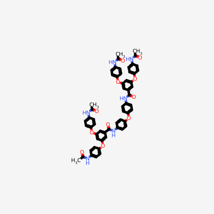 CC(=O)Nc1ccc(Oc2cc(Oc3ccc(NC(C)=O)cc3)cc(C(=O)Nc3ccc(Oc4ccc(NC(=O)c5cc(Oc6ccc(NC(C)=O)cc6)cc(Oc6ccc(NC(C)=O)cc6)c5)cc4)cc3)c2)cc1